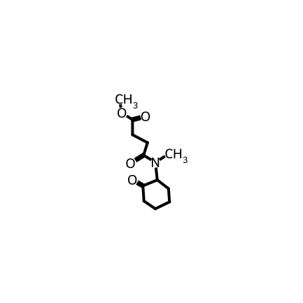 COC(=O)CCC(=O)N(C)C1CCCCC1=O